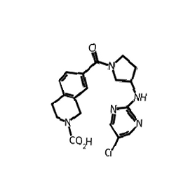 O=C(O)N1CCc2ccc(C(=O)N3CCC(Nc4ncc(Cl)cn4)C3)cc2C1